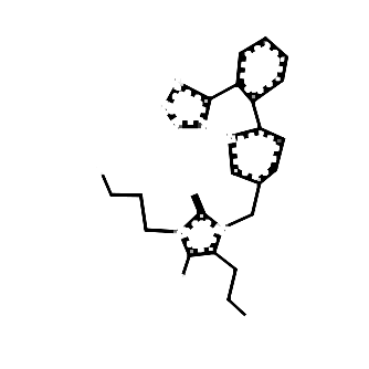 CCCCn1c(Cl)c(CCC)n(Cc2ccc(-c3ccccc3-c3nnn[nH]3)nc2)c1=O